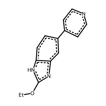 CCOc1nc2cc(-c3ccncc3)ccc2[nH]1